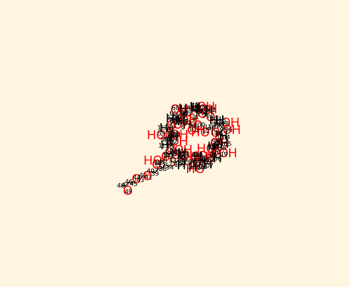 CCC(SCC1O[C@H]2O[C@@H]3C(CO)O[C@H](O[C@@H]4C(CO)O[C@H](O[C@@H]5C(CO)O[C@@H](O[C@@H]6C(CSCC(CC(=O)CCOCCOCCC(C)=O)C(=O)O)O[C@H](O[C@@H]7C(CO)O[C@@H](O[C@@H]8C(CO)O[C@@H](O[C@H]1[C@H](O)C2O)C(O)[C@H]8O)C(O)[C@H]7O)C(O)[C@H]6O)C(O)[C@H]5O)C(O)[C@H]4O)C(O)[C@H]3O)C(=O)O